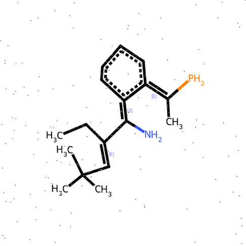 CCC(=C\C(C)(C)C)/C(N)=c1\cccc\c1=C(\C)P